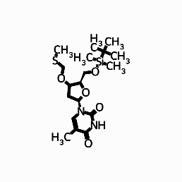 CSCOC1C[C@H](n2cc(C)c(=O)[nH]c2=O)O[C@@H]1CO[Si](C)(C)C(C)(C)C